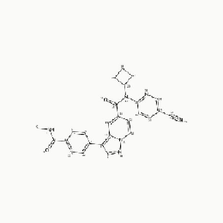 CNC(=O)c1ccc(-c2cnn3ccc(C(=O)N(c4ccc(C#N)cn4)C4CCC4)cc23)cn1